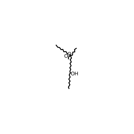 CCCCCCCCC(O)CCCCCCCCC(CC)(CCCCC)OC(=O)CCCCCCC